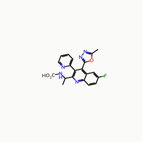 Cc1nnc(-c2c(-c3ccccn3)c(C(C)NC(=O)O)nc3ccc(F)cc23)o1